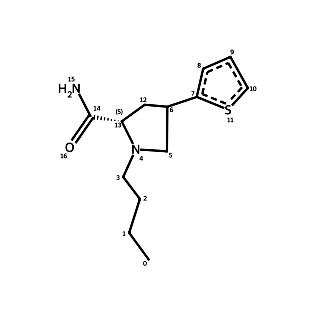 CCCCN1CC(c2cccs2)C[C@H]1C(N)=O